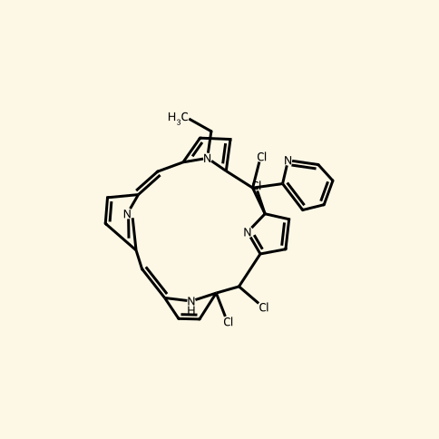 CCn1c2ccc1C(Cl)(c1ccccn1)C1(Cl)C=CC(=N1)C(Cl)C1(Cl)C=CC(=CC3=NC(=C2)C=C3)N1